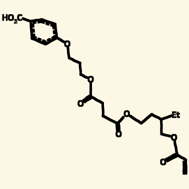 C=CC(=O)OCC(CC)CCOC(=O)CCC(=O)OCCCOc1ccc(C(=O)O)cc1